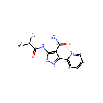 CCCC(CCC)C(=O)Nc1onc(-c2ccccn2)c1C(N)=O